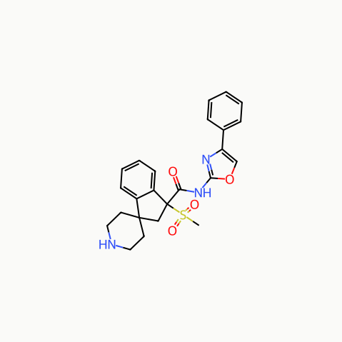 CS(=O)(=O)C1(C(=O)Nc2nc(-c3ccccc3)co2)CC2(CCNCC2)c2ccccc21